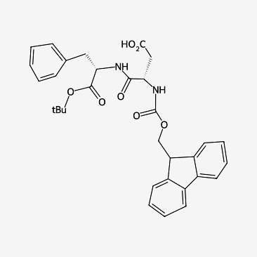 CC(C)(C)OC(=O)[C@H](Cc1ccccc1)NC(=O)[C@H](CC(=O)O)NC(=O)OCC1c2ccccc2-c2ccccc21